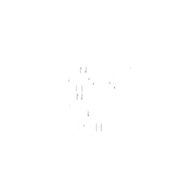 Cc1cc([C@@H](C)Nc2ccccc2C(=O)O)c2nc(N3Cc4ccccc4[C@@H]3C)cc(=O)n2c1